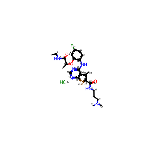 CCNC(=O)C(C)Oc1cc(F)ccc1Nc1ncnc2sc(C(=O)NCCCN(C)C)c(C)c12.Cl